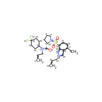 C=CCN(C(=O)[C@@H]1CCCN1S(=O)(=O)c1ccc(C)c2cn(CC=C)nc12)C1CCC(F)(F)CC1